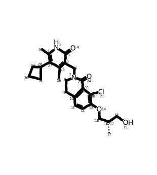 Cc1[nH]c(=O)c(CN2CCc3ccc(OC[C@@H](C)CO)c(Cl)c3C2=O)c(C)c1C1CCC1